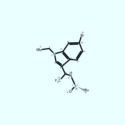 CC(C)(C)Cn1cc(C(N[S@@+]([O-])C(C)(C)C)C(F)(F)F)c2ccc(Br)cc21